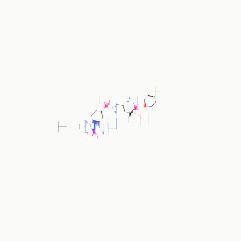 Cc1cc(CNC(=O)c2ccc3c(c2)[nH]c(=O)n3C)cnc1Oc1ccc(F)cc1